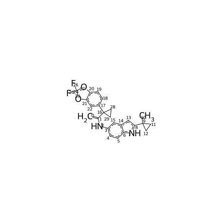 C=C(Nc1ccc2[nH]c(C3(C)CC3)cc2c1)C1(c2ccc3c(c2)OC(F)(F)O3)CC1